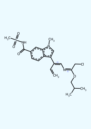 C=C/C(=C\N=C(/CCl)OCC(C)C)c1cn(C)c2cc(C(=O)NS(C)(=O)=O)ccc12